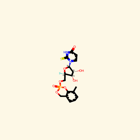 Cc1cccc2c1OP(=O)(OC[C@@]1(F)O[C@@H](n3ccc(=O)[nH]c3=S)[C@H](O)[C@@H]1O)OC2